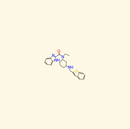 CCN(C(=O)c1nc2ccccc2[nH]1)C1CCCC(NCc2cc3ccccc3s2)C1